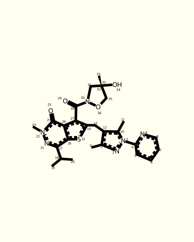 Cc1nn(-c2ccccn2)c(C)c1Cc1sc2c(C(C)C)nn(C)c(=O)c2c1C(=O)N1C[C@](C)(O)CO1